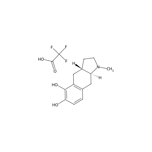 CN1CC[C@H]2Cc3c(ccc(O)c3O)C[C@@H]21.O=C(O)C(F)(F)F